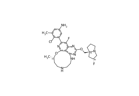 Cc1cc(N)cc(-c2nc3c4c(nc(OC[C@@]56CCCN5C[C@H](F)C6)nc4c2F)NCCNCC[C@H](C)O3)c1Cl